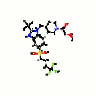 COCC(=O)N1CCC(Cn2c(C(C)(C)C)nc3cc(S(=O)(=O)CCCC(F)(F)F)ccc32)CC1